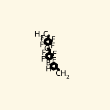 C=Cc1ccc(Bc2c(F)c(F)c(COc3c(F)c(F)c(C=C)c(F)c3F)c(F)c2F)cc1